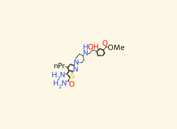 CCCc1cc(N2CCC(NCC(O)c3cccc(C(=O)OC)c3)CC2)nc2sc(C(N)=O)c(N)c12